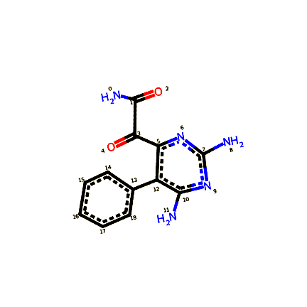 NC(=O)C(=O)c1nc(N)nc(N)c1-c1ccccc1